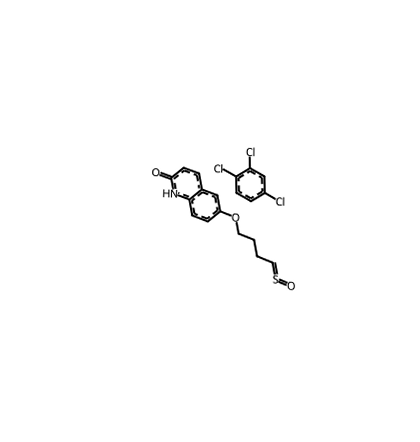 Clc1ccc(Cl)c(Cl)c1.O=S=CCCCOc1ccc2[nH]c(=O)ccc2c1